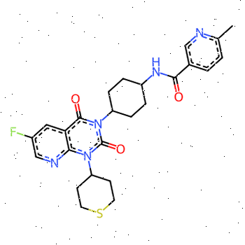 Cc1ccc(C(=O)NC2CCC(n3c(=O)c4cc(F)cnc4n(C4CCSCC4)c3=O)CC2)cn1